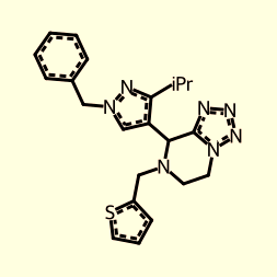 CC(C)c1nn(Cc2ccccc2)cc1C1c2nnnn2CCN1Cc1cccs1